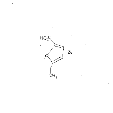 Cc1ccc(C(=O)O)o1.[Zn]